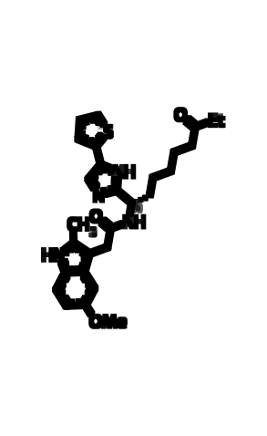 CCC(=O)CCCCC[C@H](NC(=O)Cc1c(C)[nH]c2ccc(OC)cc12)c1ncc(-c2cccs2)[nH]1